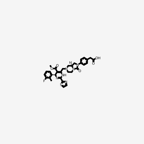 COC(=O)C1=C(CN2CCN3C(=O)N(c4ccc(CC(=O)O)cc4)C[C@@H]3C2)NC(c2nccs2)=N[C@H]1c1cccc(F)c1C